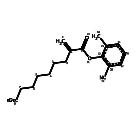 C=C(CCCCCCCCCCCCCCCC)C(=O)Oc1c(C)cccc1C#N